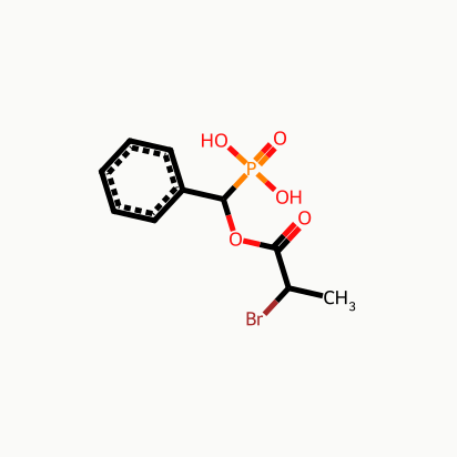 CC(Br)C(=O)OC(c1ccccc1)P(=O)(O)O